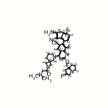 CN(C)CC(=O)N1CC2(CCCN(c3nc(OC[C@@]45CCCN4C[C@H](F)C5)nc4c(F)c(-c5ccc(F)c6sc(N)c(C#N)c56)c(Cl)cc34)C2)C1